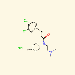 CN(C)CCN(C(=O)C=Cc1ccc(Cl)c(Cl)c1)[C@H]1CC[C@H](C)CC1.Cl